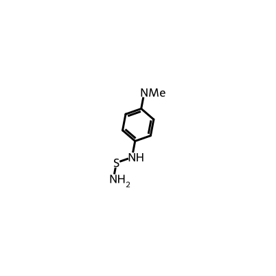 CNc1ccc(NSN)cc1